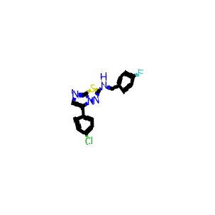 Fc1ccc(CNc2nn3c(-c4ccc(Cl)cc4)cnc3s2)cc1